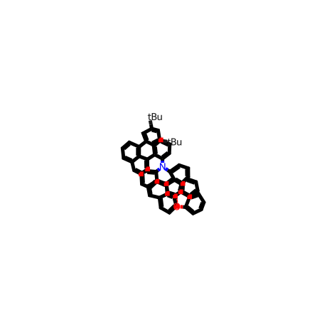 CC(C)(C)c1cc(-c2cccc3cccc(-c4ccccc4N(c4ccccc4-c4ccc5c(c4)oc4ccccc45)c4ccccc4-c4cccc5cccc(-c6ccccc6)c45)c23)cc(C(C)(C)C)c1